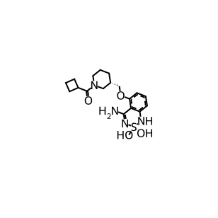 NC1=NS(O)(O)Nc2cccc(OC[C@H]3CCCN(C(=O)C4CCC4)C3)c21